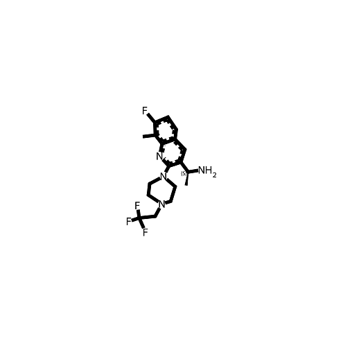 Cc1c(F)ccc2cc([C@H](C)N)c(N3CCN(CC(F)(F)F)CC3)nc12